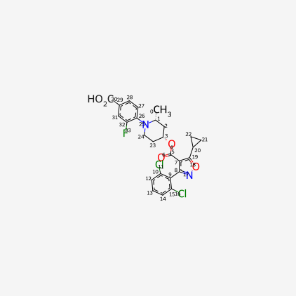 C[C@@H]1C[C@H](OC(=O)c2c(-c3c(Cl)cccc3Cl)noc2C2CC2)CCN1c1ccc(C(=O)O)cc1F